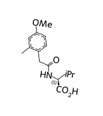 COc1ccc(CC(=O)N[C@H](C(=O)O)C(C)C)c(C)c1